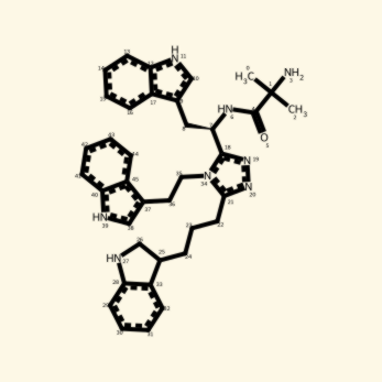 CC(C)(N)C(=O)N[C@H](Cc1c[nH]c2ccccc12)c1nnc(CCCC2CNc3ccccc32)n1CCc1c[nH]c2ccccc12